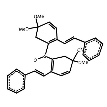 COC1(OC)C=CC(C=Cc2ccccc2)=C([S+]([O-])C2=C(C=Cc3ccccc3)C=CC(OC)(OC)C2)C1